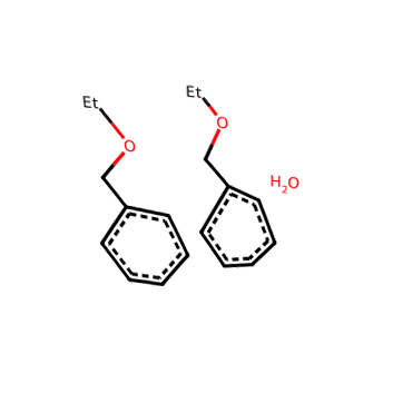 CCOCc1ccccc1.CCOCc1ccccc1.O